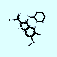 COc1cc2sc(C(=O)O)c(OC3CCCCC3)c2cc1C